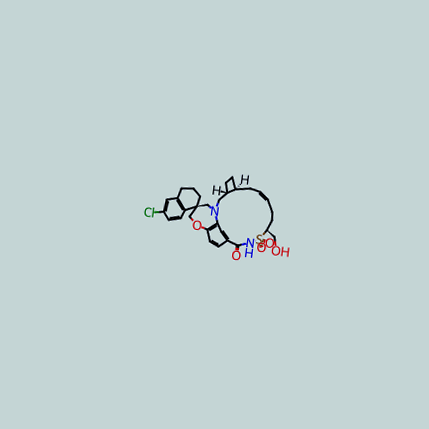 O=C1NS(=O)(=O)[C@H](CO)CC/C=C\C[C@@H]2CC[C@H]2CN2C[C@@]3(CCCc4cc(Cl)ccc43)COc3ccc1cc32